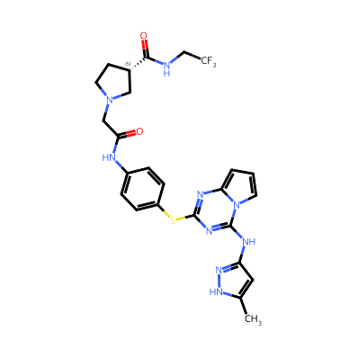 Cc1cc(Nc2nc(Sc3ccc(NC(=O)CN4CC[C@H](C(=O)NCC(F)(F)F)C4)cc3)nc3cccn23)n[nH]1